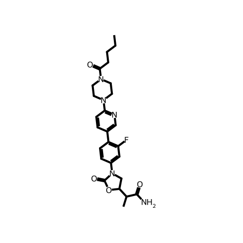 CCCCC(=O)N1CCN(c2ccc(-c3ccc(N4CC(C(C)C(N)=O)OC4=O)cc3F)cn2)CC1